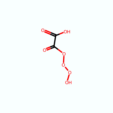 O=C(O)C(=O)OOOO